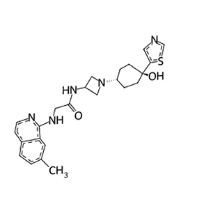 Cc1ccc2ccnc(NCC(=O)NC3CN([C@H]4CC[C@@](O)(c5cncs5)CC4)C3)c2c1